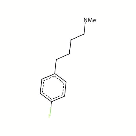 CNCCCCc1ccc(F)cc1